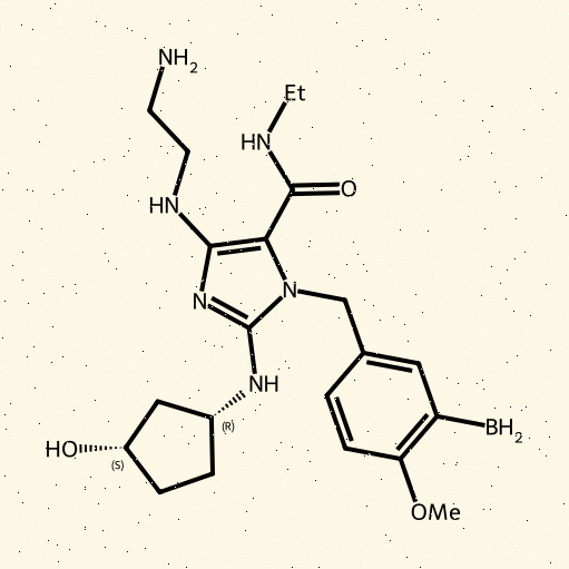 Bc1cc(Cn2c(N[C@@H]3CC[C@H](O)C3)nc(NCCN)c2C(=O)NCC)ccc1OC